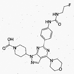 O=C(NCCF)Nc1ccc(-c2nc(N3CCOCC3)c3cnn(C4CCN(C(=O)O)CC4)c3n2)cc1